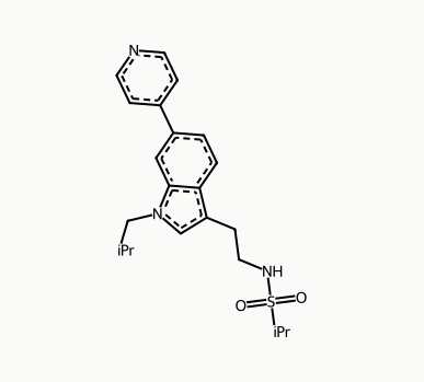 CC(C)Cn1cc(CCNS(=O)(=O)C(C)C)c2ccc(-c3ccncc3)cc21